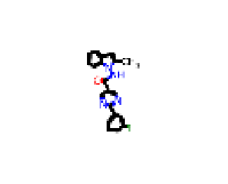 Cc1cc2ccccc2n1NC(=O)c1cnc(-c2cccc(F)c2)nc1